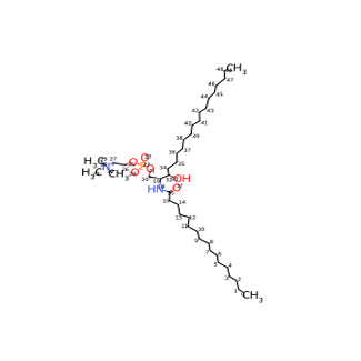 CCCCCCCCCCCCCCCCC(=O)N[C@@H](COP(=O)([O-])OCC[N+](C)(C)C)[C@H](O)CCCCCCCCCCCCCCCC